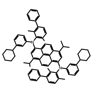 Cc1ccc(-c2ccccc2)c(C)c1N(c1cccc(C2CCCCC2)c1)c1cc(C(C)C)c2ccc3c(N(c4cccc(C5CCCCC5)c4)c4c(C)ccc(-c5ccccc5)c4C)cc(C(C)C)c4ccc1c2c43